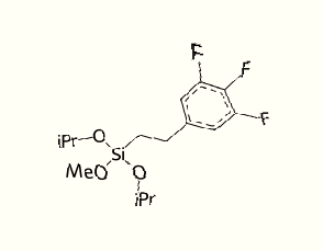 CO[Si](CCc1cc(F)c(F)c(F)c1)(OC(C)C)OC(C)C